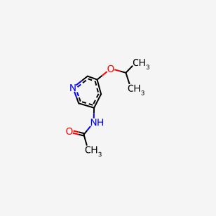 CC(=O)Nc1cncc(OC(C)C)c1